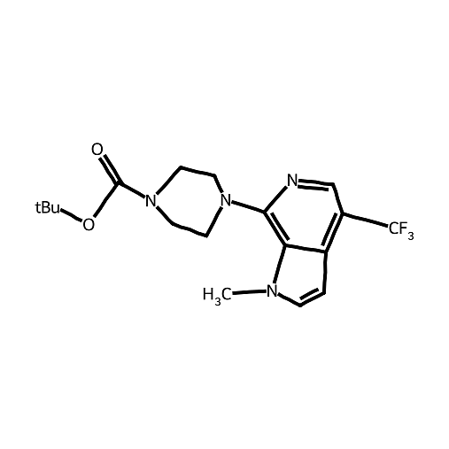 Cn1ccc2c(C(F)(F)F)cnc(N3CCN(C(=O)OC(C)(C)C)CC3)c21